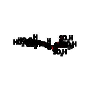 CC1(C)C(/C=C/C2=C(Oc3ccc(S(=O)(=O)O)cc3)C(=C/C=C3/N(CCCCS(=O)(=O)O)c4ccc(S(=O)(=O)O)cc4C3(C)C)/CCC2)=[N+](CCCCCC(=O)NCCOCCOCCOCCOCCC(=O)NCCCC[C@H](OC(=O)N[C@@H](CCC(=O)O)C(=O)O)C(=O)O)c2ccc(S(=O)(=O)O)cc21